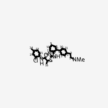 CNCCc1ccc(-c2cccc3nc(SC(C)C(=O)Nc4ccc(C)cc4Cl)[nH]c23)cc1